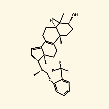 C[C@H](CCc1ccccc1C(F)(F)F)[C@H]1CC=C2C3=C(CC[C@@]21C)[C@@]1(C)CC[C@H](O)C(C)(C)[C@@H]1CC3